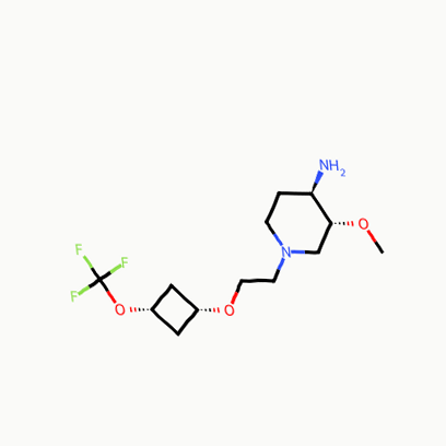 CO[C@@H]1CN(CCO[C@H]2C[C@@H](OC(F)(F)F)C2)CC[C@H]1N